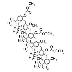 CCOC(=O)COc1ccc(C(C)(C)C)cc1Cc1cc(C(C)(C)C)cc(Cc2cc(C(C)(C)C)cc(Cc3cc(C(C)(C)C)cc(Cc4cc(C(C)(C)C)cc(Cc5cc(C(C)(C)C)ccc5C)c4OCC(=O)OCC)c3C)c2OCC(=O)OCC)c1OC